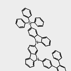 c1ccc(-c2ccccc2-c2ccc(-n3c4ccccc4c4ccc(-n5c6ccccc6c6cc([Si](c7ccccc7)(c7ccccc7)c7ccccc7)ccc65)cc43)cc2)cc1